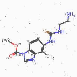 Cc1c(NC(=S)NCCN)ccc2c1ncn2C(=O)OC(C)(C)C